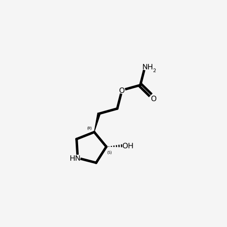 NC(=O)OCC[C@@H]1CNC[C@H]1O